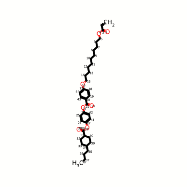 C=CC(=O)OCCCCCCCCCCCOc1ccc(C(=O)Oc2ccc(OC(=O)C3CCC(CCCC)CC3)cc2)cc1